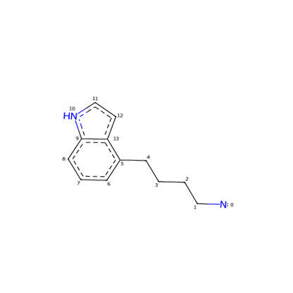 [N]CCCCc1cccc2[nH]ccc12